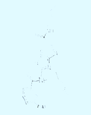 CCCCNC(=O)c1cnc2c(c1)nc(NC(=O)c1cccc(N)c1)n2CCCOC